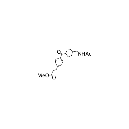 COC(=O)CCc1ccc(C(=O)C2CCC(CNC(C)=O)CC2)cc1